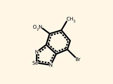 Cc1cc(Br)c2n[se]nc2c1[N+](=O)[O-]